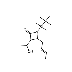 CC=CCC1C(C(C)O)C(=O)N1[Si](C)(C)C(C)(C)C